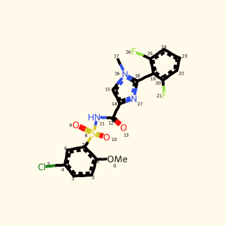 COc1ccc(Cl)cc1S(=O)(=O)NC(=O)c1cn(C)c(-c2c(F)cccc2F)n1